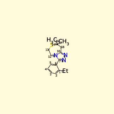 CCc1ccccc1-c1nnc2n1CCSC(C)(C)C2